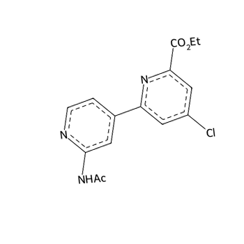 CCOC(=O)c1cc(Cl)cc(-c2ccnc(NC(C)=O)c2)n1